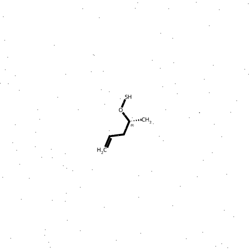 C=CC[C@@H](C)OS